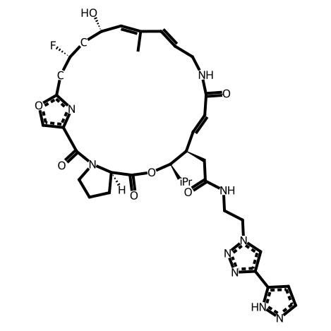 CC1=C\[C@@H](O)C[C@@H](F)Cc2nc(co2)C(=O)N2CCC[C@@H]2C(=O)O[C@H](C(C)C)[C@H](CC(=O)NCCn2cc(-c3ccn[nH]3)nn2)/C=C/C(=O)NC\C=C\1